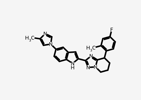 Cc1cn(-c2ccc3[nH]c(-c4nc5n(n4)CCCC5c4ccc(F)cc4C)cc3c2)cn1